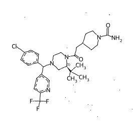 CC(C)(C)[C@H]1CN(C(c2ccc(Cl)cc2)c2ccc(C(F)(F)F)nc2)CCN1C(=O)CC1CCN(C(N)=O)CC1